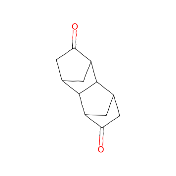 O=C1CC2CC1C1C3CC(=O)C(C3)C21